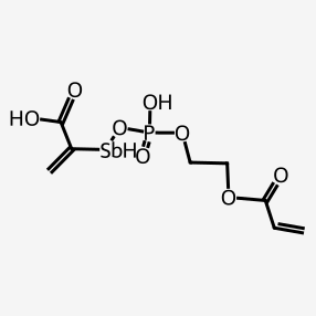 C=CC(=O)OCCOP(=O)(O)[O][SbH][C](=C)C(=O)O